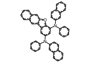 c1ccc(N(c2ccc3ccccc3c2)c2cc(N(c3ccccc3)c3ccc4ccccc4c3)c3oc4cc5ccccc5cc4c3c2)cc1